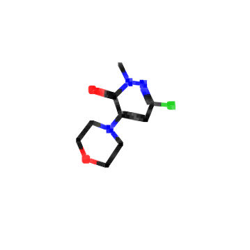 Cn1nc(Cl)cc(N2CCOCC2)c1=O